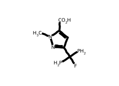 Cn1nc(C(F)(P)P)cc1C(=O)O